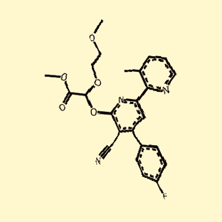 COCCOC(Oc1nc(-c2ncccc2C)cc(-c2ccc(F)cc2)c1C#N)C(=O)OC